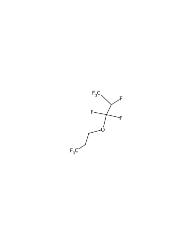 FC(C(F)(F)F)C(F)(F)OCCC(F)(F)F